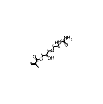 C=C(C)C(=O)OCC(O)COCCNC(N)=O